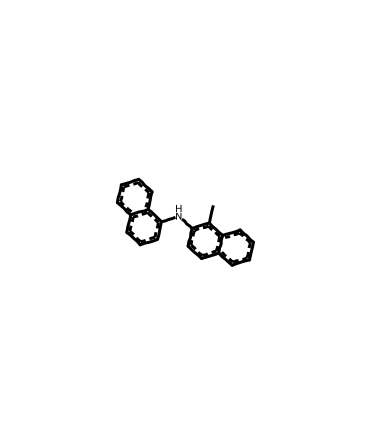 Cc1c(Nc2cccc3ccccc23)ccc2ccccc12